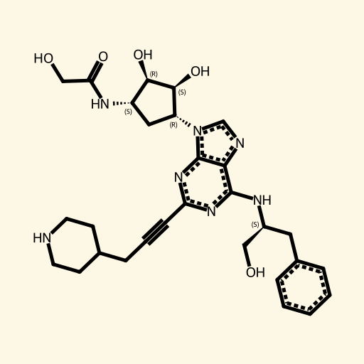 O=C(CO)N[C@H]1C[C@@H](n2cnc3c(N[C@H](CO)Cc4ccccc4)nc(C#CCC4CCNCC4)nc32)[C@H](O)[C@@H]1O